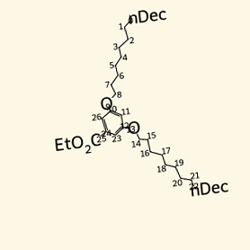 CCCCCCCCCCCCCCCCCCOc1cc(OCCCCCCCCCCCCCCCCCC)cc(C(=O)OCC)c1